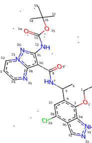 CCOc1c(C(C)NC(=O)c2c(NC(=O)OC(C)(C)C)nn3cccnc23)cc(Cl)c2cn[nH]c12